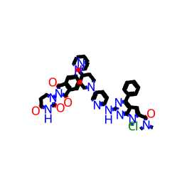 CN(C)C(=O)c1cc2c(-c3ccccc3)nc(Nc3ccc(N4CCC(CN5C6CC5CN(c5ccc7c(c5)C(=O)N(N5CCC(=O)NC5=O)C7=O)C6)CC4)cn3)nc2n1Cl